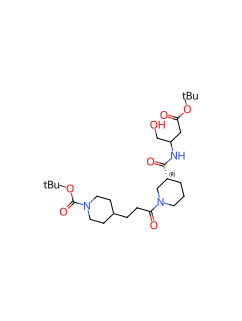 CC(C)(C)OC(=O)CC(CO)NC(=O)[C@@H]1CCCN(C(=O)CCC2CCN(C(=O)OC(C)(C)C)CC2)C1